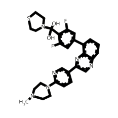 CN1CCN(c2ccc(-c3cnc4cccc(-c5cc(F)c(C(O)(O)N6CCSCC6)c(F)c5)c4n3)cn2)CC1